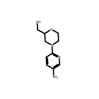 Nc1ccc(N2CCOC(CO)C2)nc1